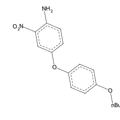 CCCCOc1ccc(Oc2ccc(N)c([N+](=O)[O-])c2)cc1